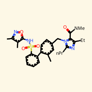 CCCc1nc(CC)c(C(=O)NC)n1Cc1ccc(-c2ccccc2S(=O)(=O)Nc2onc(C)c2C)c(C)c1